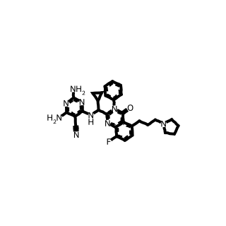 N#Cc1c(N)nc(N)nc1NC(c1nc2c(F)ccc(CCCN3CCCC3)c2c(=O)n1-c1ccccc1)C1CC1